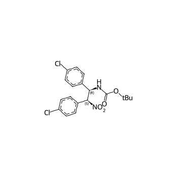 CC(C)(C)OC(=O)N[C@H](c1ccc(Cl)cc1)[C@H](c1ccc(Cl)cc1)[N+](=O)[O-]